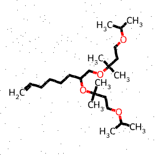 C=CCCCCC(COC(C)(C)CCOC(C)C)OC(C)(C)CCOC(C)C